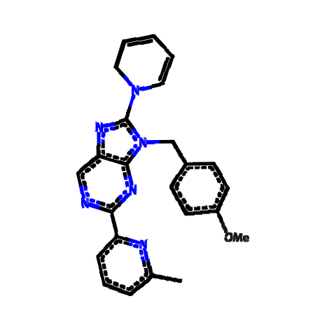 COc1ccc(Cn2c(N3C=CC=CC3)nc3cnc(-c4cccc(C)n4)nc32)cc1